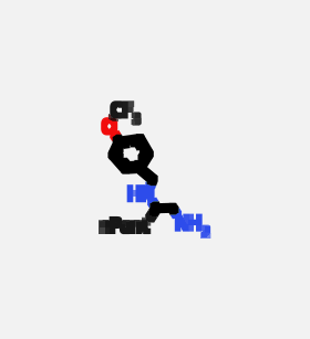 CCCCCC(CN)NCc1ccc(OC(F)(F)F)cc1